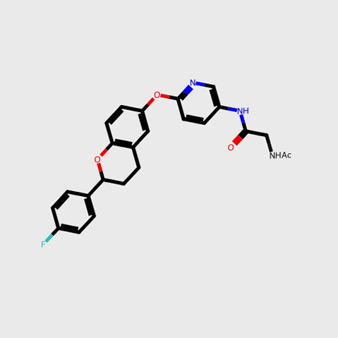 CC(=O)NCC(=O)Nc1ccc(Oc2ccc3c(c2)CCC(c2ccc(F)cc2)O3)nc1